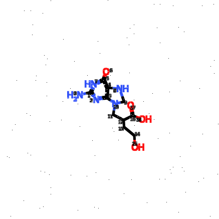 Nc1nc2c(c(=O)[nH]1)NCN2CC(CCO)C(=O)O